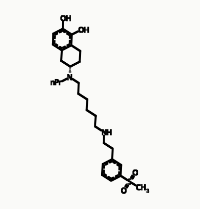 CCCN(CCCCCCNCCc1cccc(S(C)(=O)=O)c1)[C@H]1CCc2c(ccc(O)c2O)C1